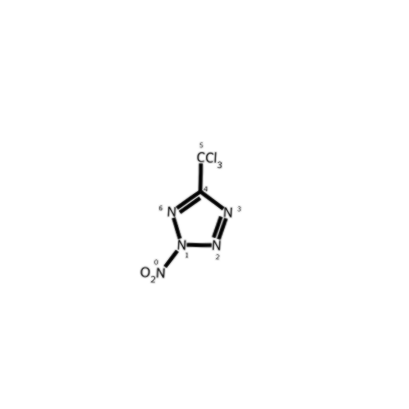 O=[N+]([O-])n1nnc(C(Cl)(Cl)Cl)n1